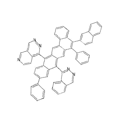 c1ccc(-c2ccc3c(-c4nncc5cnccc45)c4cc5c(cc4c(-c4nncc6ccccc46)c3c2)c(-c2ccccc2)c(-c2ccc3ccccc3c2)c2ccccc25)cc1